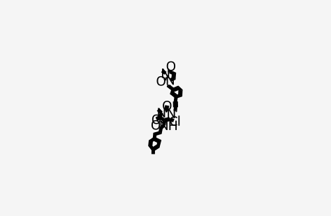 Cc1ccc(CCC(=O)Nc2c(Cl)n(CC#Cc3cccc(Cn4ccc(=O)n(C)c4=O)c3)c(=O)n(C)c2=O)cc1